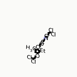 CCc1cc(OCC=C(Cl)Cl)cc(C)c1OCCOCC/C=N/OCC=C(Cl)Cl